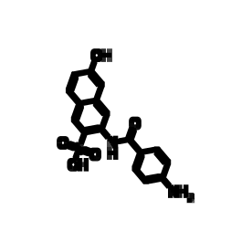 Nc1ccc(C(=O)Nc2cc3cc(O)ccc3cc2S(=O)(=O)O)cc1